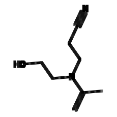 C=C(C)N(CCO)CCC#N